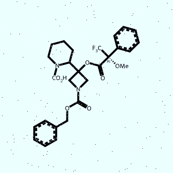 CO[C@@](C(=O)OC1(C2CCCCN2C(=O)O)CN(C(=O)OCc2ccccc2)C1)(c1ccccc1)C(F)(F)F